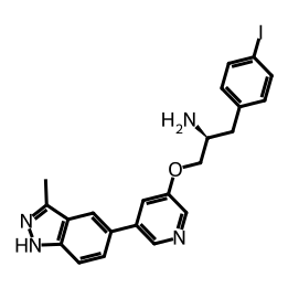 Cc1n[nH]c2ccc(-c3cncc(OC[C@@H](N)Cc4ccc(I)cc4)c3)cc12